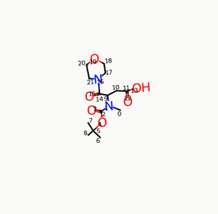 CN(C(=O)OC(C)(C)C)C(CC(=O)O)C(=O)N1CCOCC1